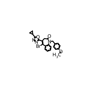 COc1ccc(CN2C(=O)CC(c3nnc(C4CC4)o3)=C(Br)c3ccccc32)cc1